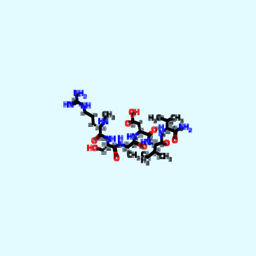 CC[C@H](C)[C@H](NC(=O)[C@H](CC(=O)O)NC(=O)[C@H](C)NC(=O)[C@H](CO)NC(=O)[C@H](CCCNC(=N)N)NC)C(=O)N[C@H](C(N)=O)C(C)C